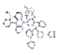 CC(C)(C)c1ccc(-c2ccccc2N(c2ccc3c(c2)C(c2cccc(-c4ccccc4)c2)(c2cccc(-c4ccccc4)c2)c2ccccc2-3)c2ccccc2C2(C)C[C@@H]3CC[C@@H](C3)C2)c2ccccc12